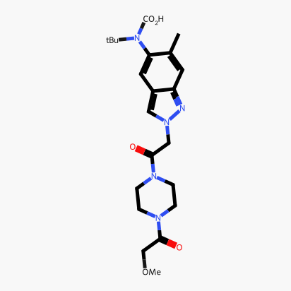 COCC(=O)N1CCN(C(=O)Cn2cc3cc(N(C(=O)O)C(C)(C)C)c(C)cc3n2)CC1